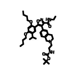 CCCCOc1cc(OCCCC)c(C(C)C)cc1-c1onc(C(=O)NCC)c1-c1ccc2c(c1)CCN(CCNC(=O)OC(C)(C)C)C2